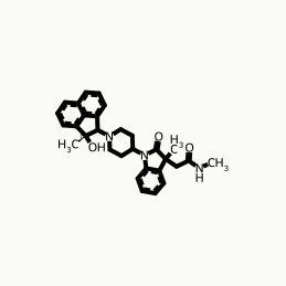 CNC(=O)CC1(C)C(=O)N(C2CCN(C3c4cccc5cccc(c45)[C@]3(C)O)CC2)c2ccccc21